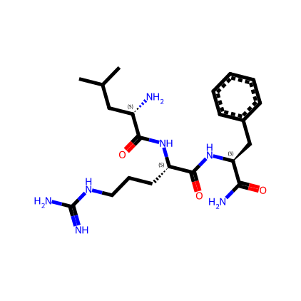 CC(C)C[C@H](N)C(=O)N[C@@H](CCCNC(=N)N)C(=O)N[C@@H](Cc1ccccc1)C(N)=O